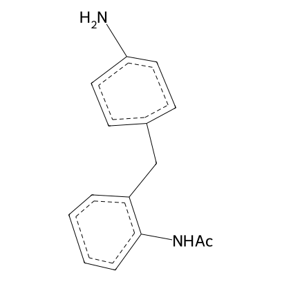 CC(=O)Nc1ccccc1Cc1ccc(N)cc1